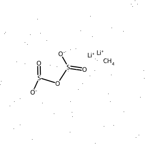 C.O=S([O-])OS(=O)[O-].[Li+].[Li+]